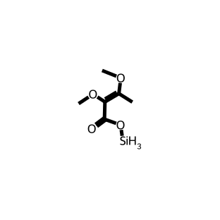 COC(C)=C(OC)C(=O)O[SiH3]